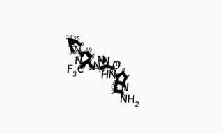 Nc1ccc2c(n1)CC[C@H]2NC(=O)c1cn(Cc2ccc(N3CC4CC4C3)nc2C(F)(F)F)nn1